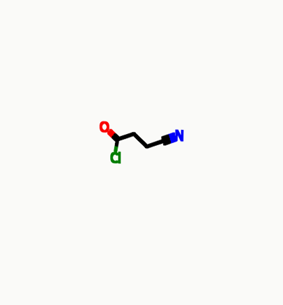 N#CCCC(=O)Cl